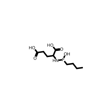 CCCCP(O)NC(CCC(=O)O)C(=O)O